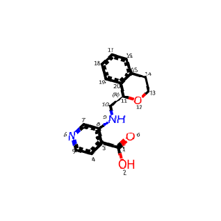 O=C(O)c1ccncc1NC[C@@H]1OCCc2ccccc21